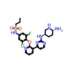 CCCS(=O)(=O)Nc1cc(F)c(Oc2ncccc2-c2ccnc(N[C@@H]3CC[C@@H](N)NC3)n2)c(Cl)c1